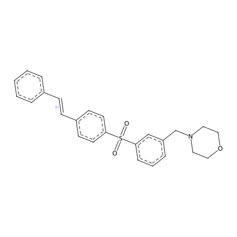 O=S(=O)(c1ccc(/C=C/c2ccccc2)cc1)c1cccc(CN2CCOCC2)c1